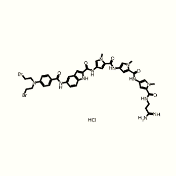 Cl.Cn1cc(NC(=O)c2cc(NC(=O)c3cc(NC(=O)c4cc5cc(NC(=O)c6ccc(N(CCBr)CCBr)cc6)ccc5[nH]4)cn3C)cn2C)cc1C(=O)NCCC(=N)N